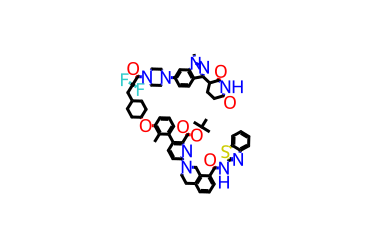 Cc1c(OC2CCC(CC(F)(F)C(=O)N3CCN(c4ccc5c(C6CCC(=O)NC6=O)nn(C)c5c4)CC3)CC2)cccc1-c1ccc(N2CCc3cccc(C(=O)Nc4nc5ccccc5s4)c3C2)nc1C(=O)OC(C)(C)C